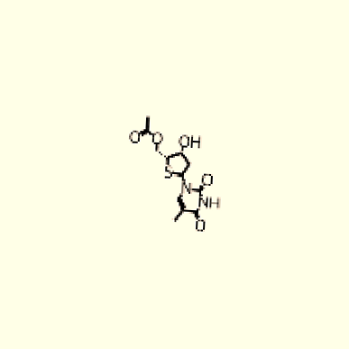 CC(=O)OC[C@H]1S[C@H](n2cc(C)c(=O)[nH]c2=O)C[C@@H]1O